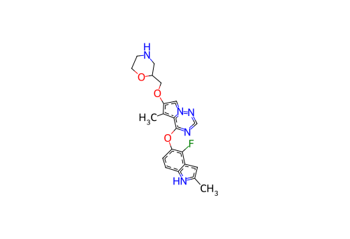 Cc1cc2c(F)c(Oc3ncnn4cc(OCC5CNCCO5)c(C)c34)ccc2[nH]1